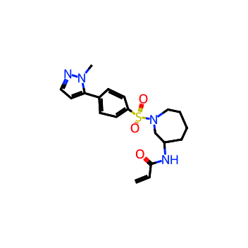 C=CC(=O)NC1CCCCN(S(=O)(=O)c2ccc(-c3ccnn3C)cc2)C1